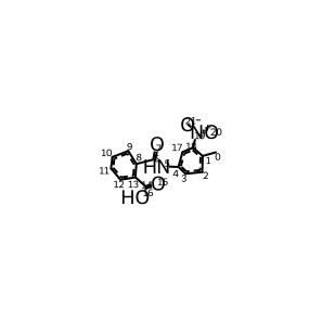 Cc1ccc(NC(=O)c2ccccc2C(=O)O)cc1[N+](=O)[O-]